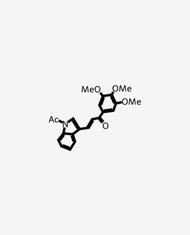 COc1cc(C(=O)C=Cc2cn(C(C)=O)c3ccccc23)cc(OC)c1OC